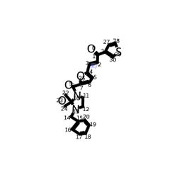 O=C(/C=C/c1ccc(C(=O)N2CCN(Cc3ccccc3)C23COC3)o1)c1ccsc1